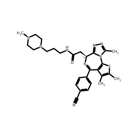 Cc1sc2c(c1C)C(c1ccc(C#N)cc1)=N[C@@H](CC(=O)NCCCN1CCN(C)CC1)c1nnc(C)n1-2